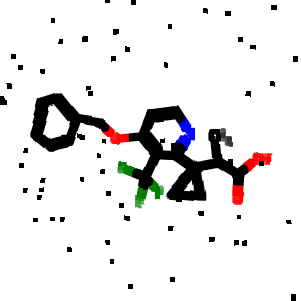 CC(C(=O)O)C1(c2nccc(OCc3ccccc3)c2C(F)(F)F)CC1